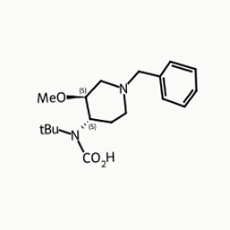 CO[C@H]1CN(Cc2ccccc2)CC[C@@H]1N(C(=O)O)C(C)(C)C